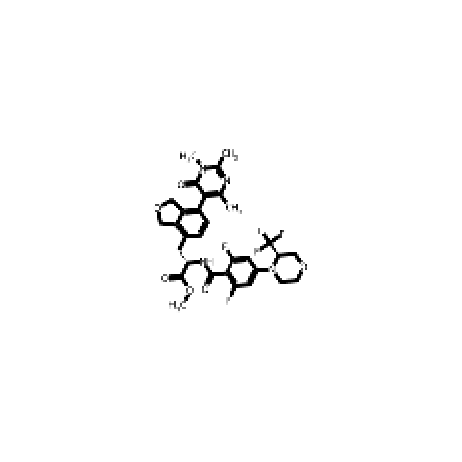 COC(=O)[C@H](Cc1ccc(-c2c(C)nc(C)n(C)c2=O)c2c1COC2)NC(=O)c1c(F)cc(N2CCOC[C@@H]2C(F)(F)F)cc1F